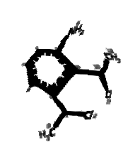 CC(Cl)c1cccc(N)c1C(C)Cl